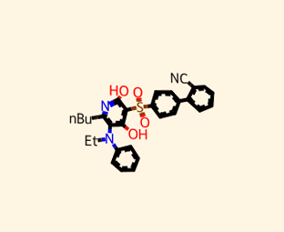 CCCCc1nc(O)c(S(=O)(=O)c2ccc(-c3ccccc3C#N)cc2)c(O)c1N(CC)c1ccccc1